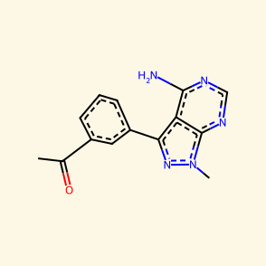 CC(=O)c1cccc(-c2nn(C)c3ncnc(N)c23)c1